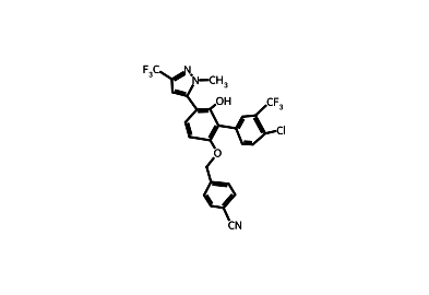 Cn1nc(C(F)(F)F)cc1-c1ccc(OCc2ccc(C#N)cc2)c(-c2ccc(Cl)c(C(F)(F)F)c2)c1O